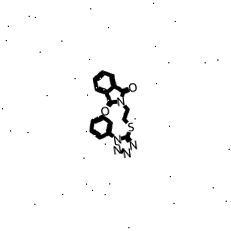 O=C1c2ccccc2C(=O)N1CCSc1nnnn1-c1ccccc1